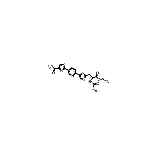 CC(C)(C)OC(=O)N[C@@H](Cc1nc(-c2ccc(-c3nc(C(N)=O)cs3)cn2)cs1)C(=O)OCC#N